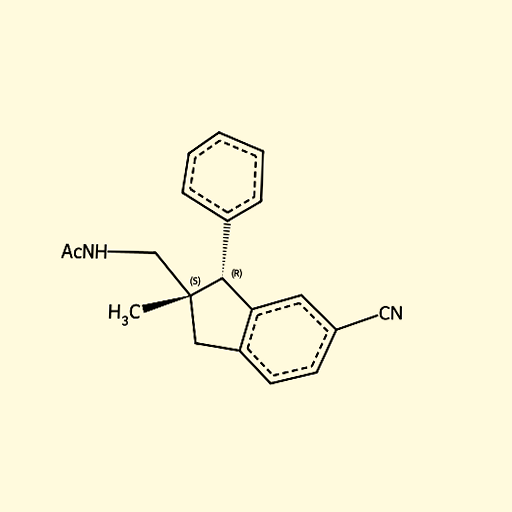 CC(=O)NC[C@@]1(C)Cc2ccc(C#N)cc2[C@H]1c1ccccc1